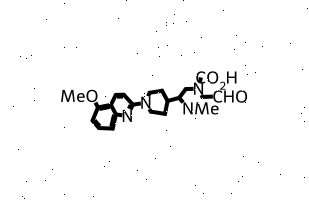 CNC(CN(CC=O)C(=O)O)C1CCN(c2ccc3c(OC)cccc3n2)CC1